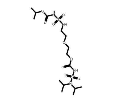 CC(C)OC(=O)NS(=O)(=O)NCCOCCOC(=O)NS(=O)(=O)N(C(C)C)C(C)C